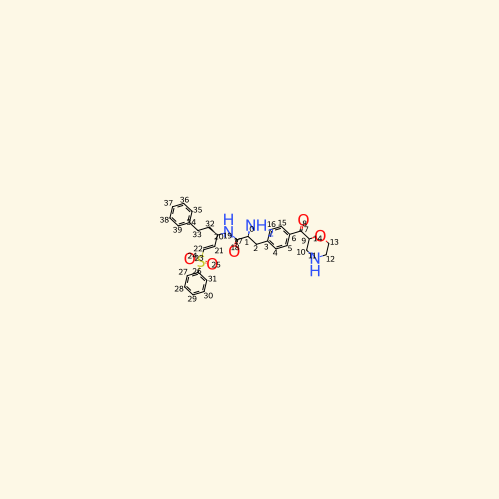 N[C@@H](Cc1ccc(C(=O)C2CNCCO2)cc1)C(=O)N[C@@H](C=CS(=O)(=O)c1ccccc1)CCc1ccccc1